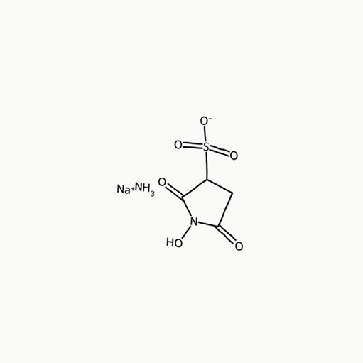 N.O=C1CC(S(=O)(=O)[O-])C(=O)N1O.[Na+]